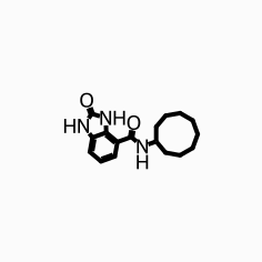 O=C(NC1CCCCCCCC1)c1cccc2[nH]c(=O)[nH]c12